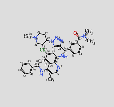 C[C@@H](Nc1c(C#N)cnc2c(N[C@@H](c3cccc(C(=O)N(C)C)c3)c3cn(C4CCN(C(C)(C)C)CC4)nn3)cc(Cl)cc12)c1ccccc1